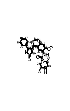 COc1cc2ncnc(-c3cn(C)nc3-c3ccccc3)c2cc1NC(=O)N1C[C@H](C)NC[C@@H]1C